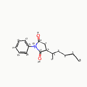 CCCCC(C)C1CC(=O)N(c2ccccc2)C1=O